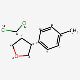 C1CCOC1.Cc1ccccc1.ClCCl